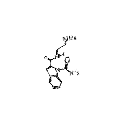 CNCCNC(=O)c1cc2cc[c]cc2n1C(N)=O